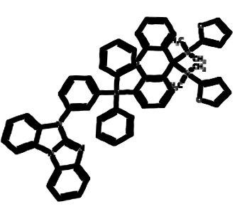 C[Si](C)(c1ccco1)C1([Si](C)(C)c2ccco2)c2ccccc2Oc2c1cccc2[Si](c1ccccc1)(c1ccccc1)c1cccc(-n2c3ccccc3n3c4ccccc4nc23)c1